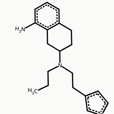 CCCN(CCc1ccsc1)C1CCc2cccc(N)c2C1